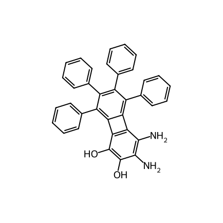 Nc1c(N)c2c(c(O)c1O)-c1c(-c3ccccc3)c(-c3ccccc3)c(-c3ccccc3)c(-c3ccccc3)c1-2